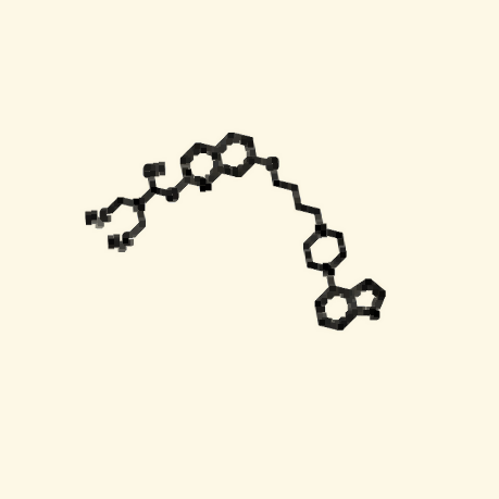 CCN(CC)C(O)Oc1ccc2ccc(OCCCCN3CCN(c4cccc5sccc45)CC3)cc2n1